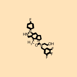 C[C@H]1C2=CNN(c3ccc(F)cc3)C2=CC2=C1[C@@H](C(=O)N(CCO)Cc1cc(F)c(F)c(F)c1)CC2